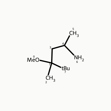 COC(C)(CC(C)N)C(C)(C)C